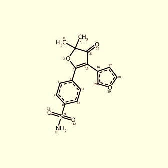 CC1(C)OC(c2ccc(S(N)(=O)=O)cc2)=C(c2ccoc2)C1=O